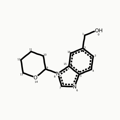 OCc1ccc2ncn(C3CCCCO3)c2c1